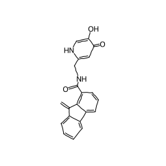 C=C1c2ccccc2-c2cccc(C(=O)NCc3cc(=O)c(O)c[nH]3)c21